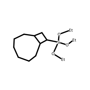 CCO[Si](OCC)(OCC)C1CC2CCCCCCC21